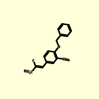 CCOC(=O)/C(F)=C/c1ccc(OCc2ccccc2)c(OC)c1